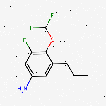 CCCc1cc(N)cc(F)c1OC(F)F